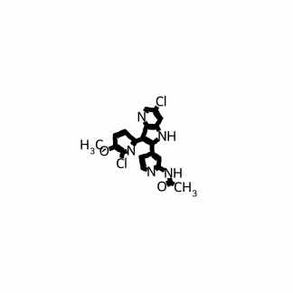 COc1ccc(-c2c(-c3ccnc(NC(C)=O)c3)[nH]c3cc(Cl)cnc23)nc1Cl